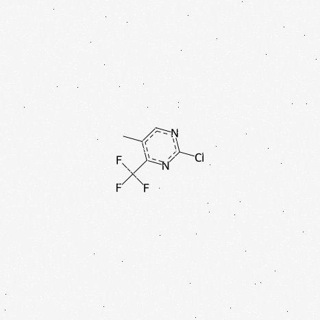 Cc1cnc(Cl)nc1C(F)(F)F